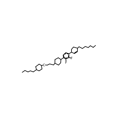 CCCCCCCC1C=CC(c2ccc(C3CCC(CCCCC4CCC(CCCCC)CC4)CC3)c(F)c2F)CC1